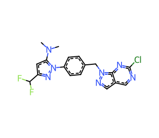 CN(C)c1cc(C(F)F)nn1-c1ccc(Cn2ncc3cnc(Cl)nc32)cc1